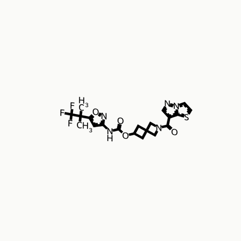 CC(C)(c1cc(NC(=O)OC2CC3(C2)CN(C(=O)c2cnn4ccsc24)C3)no1)C(F)(F)F